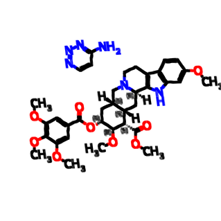 COC(=O)[C@H]1[C@H]2C[C@@H]3c4[nH]c5cc(OC)ccc5c4CCN3C[C@H]2C[C@@H](OC(=O)c2cc(OC)c(OC)c(OC)c2)[C@@H]1OC.Nc1ccnnn1